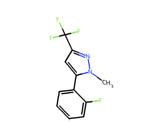 Cn1nc(C(F)(F)F)cc1-c1cc[c]cc1F